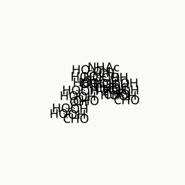 CC(=O)N[C@H]1C(O)O[C@H](CO)[C@H](O)[C@@H]1O.CC(O)C(O)C(O)C(O)C=O.O=CC(O)C(O)C(O)C(O)CO.O=CC(O)C(O)C(O)C(O)CO.O=CC(O)C(O)C(O)C(O)CO.O=CC(O)C(O)C(O)C(O)CO